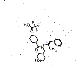 C/C(=C\c1ccccc1)CN(CC1CCNCC1)C(=O)C1CCCCC1.O=C(O)C(F)(F)F